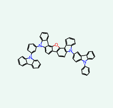 c1ccc(-n2c3ccccc3c3cc(-n4c5ccccc5c5c6oc7c(ccc8c7c7ccccc7n8-c7cccc(-n8c9ccccc9c9ccccc98)c7)c6ccc54)ccc32)cc1